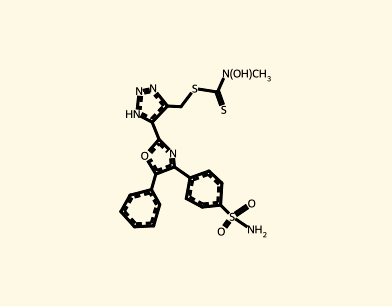 CN(O)C(=S)SCc1nn[nH]c1-c1nc(-c2ccc(S(N)(=O)=O)cc2)c(-c2ccccc2)o1